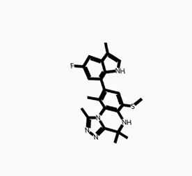 CSc1cc(-c2cc(F)cc3c(C)c[nH]c23)c(C)c2c1NC(C)(C)c1nnc(C)n1-2